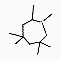 CC1CC(C)(C)CC(C)(C)CN1C